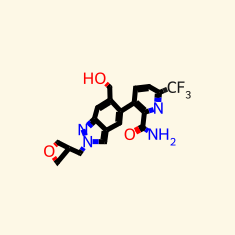 NC(=O)c1nc(C(F)(F)F)ccc1-c1cc2cn(CC3COC3)nc2cc1CO